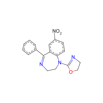 O=[N+]([O-])c1ccc2c(c1)C(c1ccccc1)=NCCN2C1=NCCO1